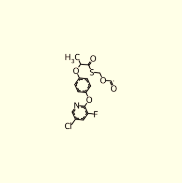 CC(Oc1ccc(Oc2ncc(Cl)cc2F)cc1)C(=O)SCO[C]=O